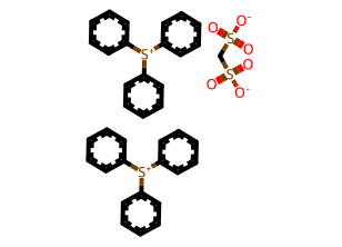 O=S(=O)([O-])CS(=O)(=O)[O-].c1ccc([S+](c2ccccc2)c2ccccc2)cc1.c1ccc([S+](c2ccccc2)c2ccccc2)cc1